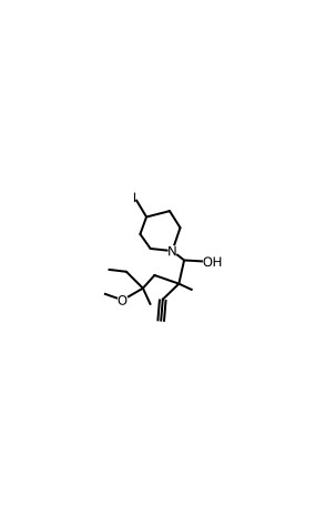 C#CC(C)(CC(C)(CC)OC)C(O)N1CCC(I)CC1